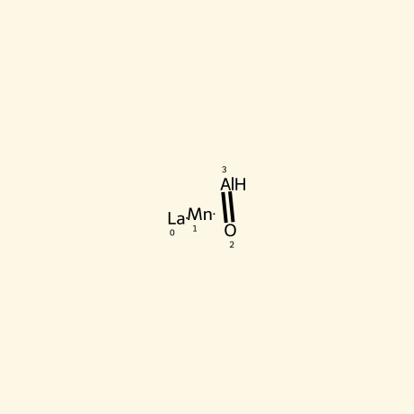 [La].[Mn].[O]=[AlH]